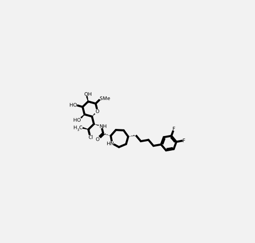 CSC1O[C@H]([C@H](NC(=O)[C@@H]2CC[C@H](CCCCc3ccc(F)c(F)c3)CCN2)[C@H](C)Cl)[C@@H](O)C(O)[C@H]1O